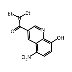 CCN(CC)C(=O)c1cnc2c(O)ccc([N+](=O)[O-])c2c1